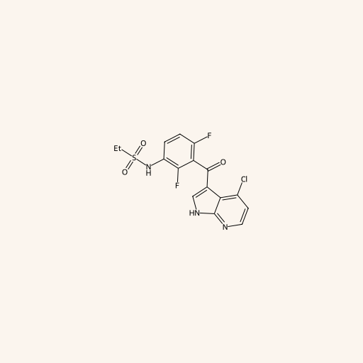 CCS(=O)(=O)Nc1ccc(F)c(C(=O)c2c[nH]c3nccc(Cl)c23)c1F